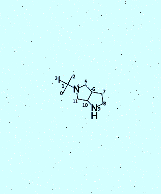 CC(C)(I)N1CC2CCNC2C1